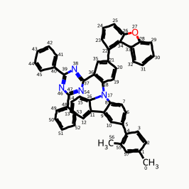 Cc1ccc(-c2ccc3c(c2)c2ccccc2n3-c2ccc(-c3cccc4oc5ccccc5c34)cc2-c2nc(-c3ccccc3)nc(-c3ccccc3)n2)c(C)c1